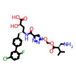 CC(C)[C@H](CN)C(=O)OCOn1cc(C(=O)N[C@H](Cc2ccc(-c3cc(Cl)ccc3F)cc2)C[C@@H](O)C(=O)O)nn1